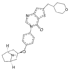 CN1[C@@H]2CC[C@H]1C[C@@H](Oc1ccc(-n3cnc4cc(CC5CCOCC5)sc4c3=O)cc1)C2